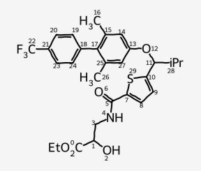 CCOC(=O)C(O)CNC(=O)c1ccc(C(Oc2cc(C)c(-c3ccc(C(F)(F)F)cc3)c(C)c2)C(C)C)s1